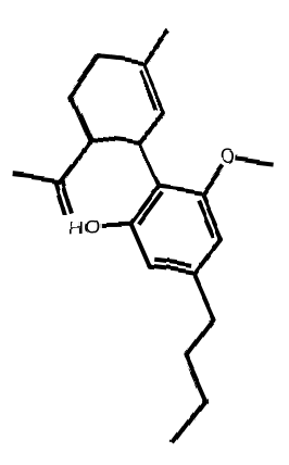 C=C(C)C1CCC(C)=CC1c1c(O)cc(CCCC)cc1OC